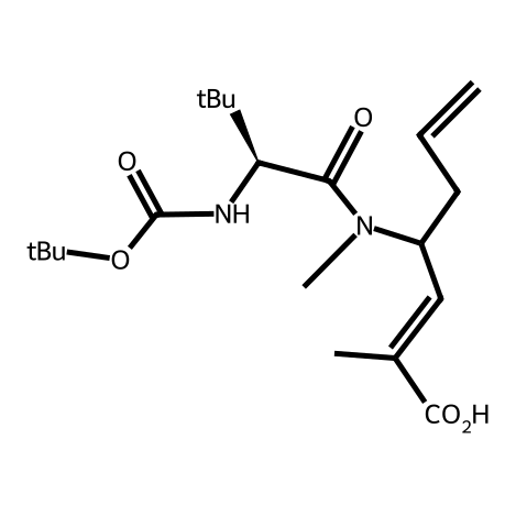 C=CCC(C=C(C)C(=O)O)N(C)C(=O)[C@@H](NC(=O)OC(C)(C)C)C(C)(C)C